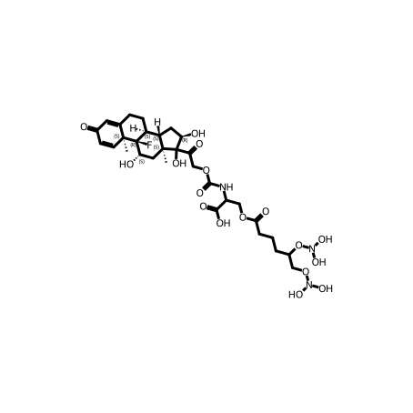 C[C@]12C[C@H](O)[C@@]3(F)[C@@H](CCC4=CC(=O)C=C[C@@]43C)[C@@H]1C[C@@H](O)C2(O)C(=O)COC(=O)NC(COC(=O)CCCC(CON(O)O)ON(O)O)C(=O)O